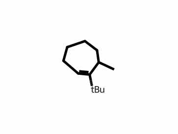 CC1CCCCC=C1C(C)(C)C